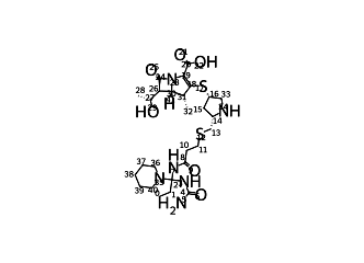 CCC(NC(N)=O)(NC(=O)CCSC[C@@H]1C[C@H](SC2=C(C(=O)O)N3C(=O)[C@H]([C@@H](C)O)[C@H]3[C@H]2C)CN1)N1CCCCC1